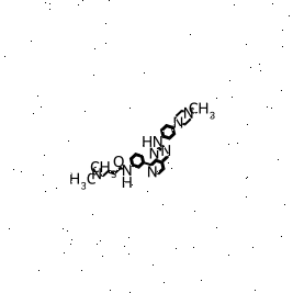 CN(C)CC=CC(=O)Nc1cccc(-c2nccc3cnc(Nc4ccc(N5CCN(C)CC5)cc4)nc23)c1